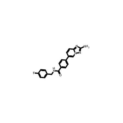 Nc1nc2ccc(-c3ccc(C(=O)NCc4ccc(F)cc4)cc3)cn2n1